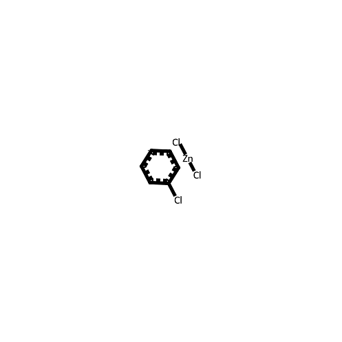 Clc1cc[c]cc1.[Cl][Zn][Cl]